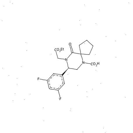 CCOC(=O)CN1C(=O)C2(CCCC2)N(C(=O)O)C[C@H]1c1cc(F)cc(F)c1